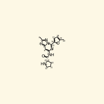 Cc1nc2cc(NC(=O)[C@@H]3CCCN3)nc(-c3ccc(C)o3)n2n1